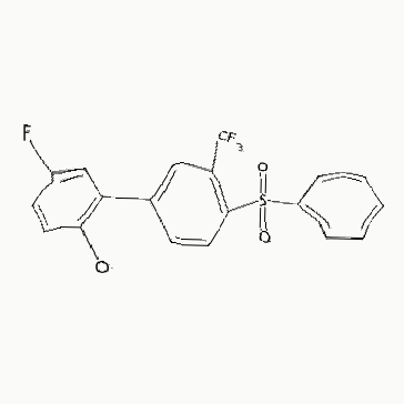 [O]c1ccc(F)cc1-c1ccc(S(=O)(=O)c2ccccc2)c(C(F)(F)F)c1